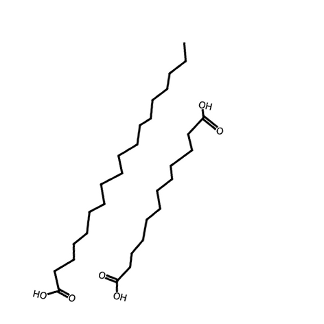 CCCCCCCCCCCCCCCCCC(=O)O.O=C(O)CCCCCCCCCCC(=O)O